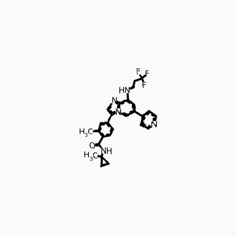 Cc1cc(-c2cnc3c(NCCC(F)(F)F)cc(-c4ccncc4)cn23)ccc1C(=O)NC1(C)CC1